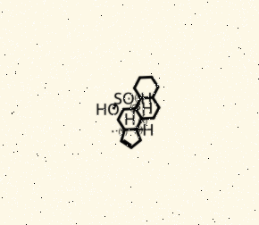 C[C@@]12C=CC[C@H]1[C@@H]1CCC3CCCC[C@]3(C)[C@H]1CC2.O=S(=O)(O)O